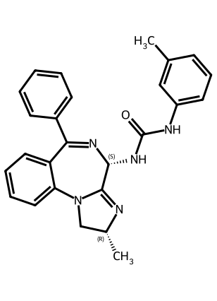 Cc1cccc(NC(=O)N[C@H]2N=C(c3ccccc3)c3ccccc3N3C[C@@H](C)N=C23)c1